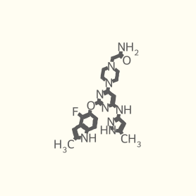 Cc1cc(Nc2cc(N3CCN(CC(N)=O)CC3)nc(Oc3ccc4[nH]c(C)cc4c3F)n2)n[nH]1